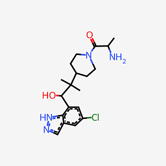 CC(N)C(=O)N1CCC(C(C)(C)C(O)c2cc(Cl)cc3cn[nH]c23)CC1